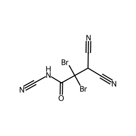 N#CNC(=O)C(Br)(Br)C(C#N)C#N